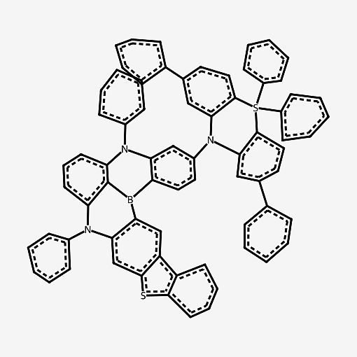 c1ccc(-c2ccc3c(c2)N(c2ccc4c(c2)N(c2ccccc2)c2cccc5c2B4c2cc4c(cc2N5c2ccccc2)sc2ccccc24)c2cc(-c4ccccc4)ccc2S3(c2ccccc2)c2ccccc2)cc1